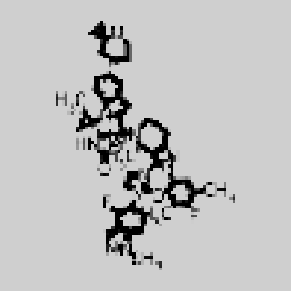 Cc1cc(-n2nc3c(c2-n2ccn(-c4ccc5c(cnn5C)c4F)c2=O)[C@H](C)N(C(=O)c2cc4cc([C@H]5CCOC6(CC6)C5)ccc4n2[C@@]2(c4noc(=O)[nH]4)C[C@@H]2C)CCC3)cc(C)c1F